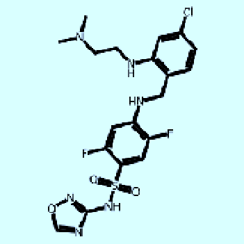 CN(C)CCNc1cc(Cl)ccc1CNc1cc(F)c(S(=O)(=O)Nc2ncon2)cc1F